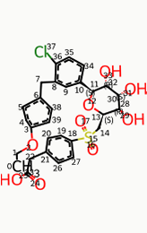 CCOc1ccc(Cc2cc([C@@H]3O[C@H](CS(=O)(=O)c4ccc(CC(=O)O)cc4)[C@H](O)[C@@H](O)[C@H]3O)ccc2Cl)cc1